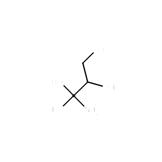 [CH2]C(N)(O)C(O)CC